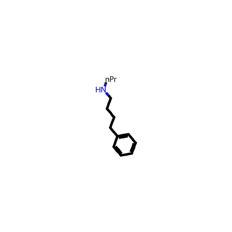 [CH2]CCNCCCCc1ccccc1